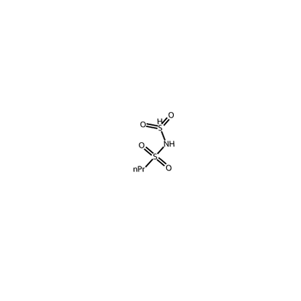 CCCS(=O)(=O)N[SH](=O)=O